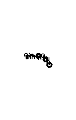 CC(=O)N[C@@H](C)/C=C/c1ccc(Oc2ccc(N3CCCCC3)nc2)nc1